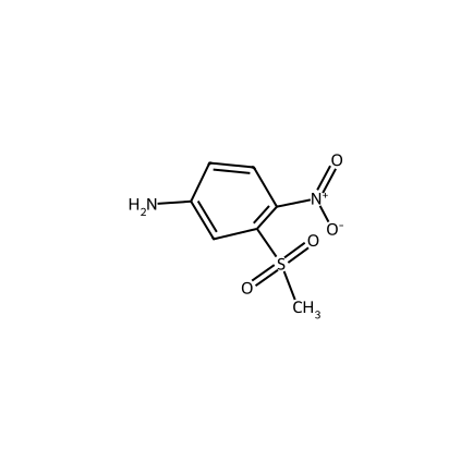 CS(=O)(=O)c1cc(N)ccc1[N+](=O)[O-]